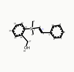 C[Si](C)(/C=C/c1ccccc1)c1ccccc1CO